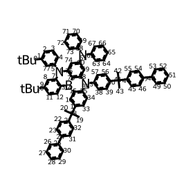 CC(C)(C)c1cccc(N2c3cc(C(C)(C)C)ccc3B3c4cc(C(C)(C)c5ccc(-c6ccccc6)cc5)ccc4N(c4ccc(C(C)(C)c5ccc(-c6ccccc6)cc5)cc4)c4cc(N(c5ccccc5)c5ccccc5)cc2c43)c1